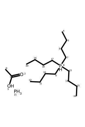 CC(=O)O.CCCC[PH](CCCC)(CCCC)CCCC.P